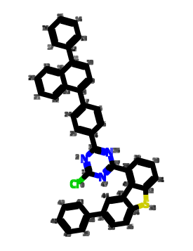 Clc1nc(-c2ccc(-c3ccc(-c4ccccc4)c4ccccc34)cc2)nc(-c2cccc3sc4ccc(-c5ccccc5)cc4c23)n1